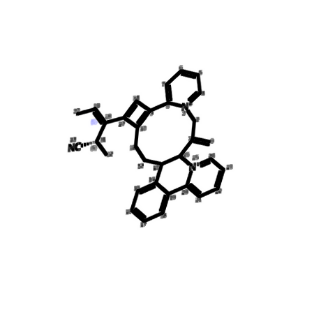 C=C1C[n+]2ccccc2C2=C(CCC3c4ccccc4-c4cccc[n+]4C13)C(/C(=C/C)[C@H](C)C#N)=C2